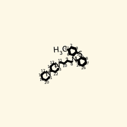 Cc1ccc2c(c1)N(CCCCN1CCC(N3CCCCC3)CC1)c1ccccc1S2